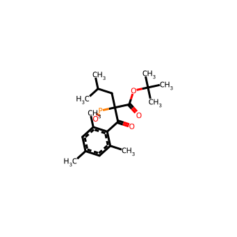 Cc1cc(C)c(C(=O)C(CC(C)C)(P=O)C(=O)OC(C)(C)C)c(C)c1